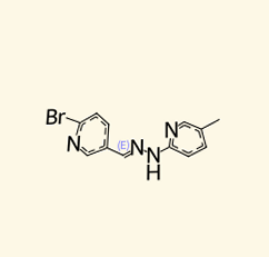 Cc1ccc(N/N=C/c2ccc(Br)nc2)nc1